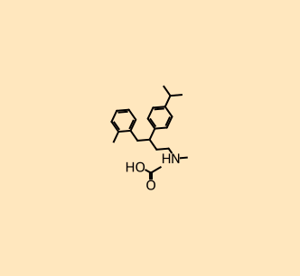 CC(=O)O.CNCCC(Cc1ccccc1C)c1ccc(C(C)C)cc1